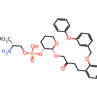 N[C@@H](COP(=O)(O)O[C@@H]1CCCO[C@@H]1OCC(=O)CCc1ccccc1OCc1cccc(Oc2ccccc2)c1)C(=O)O